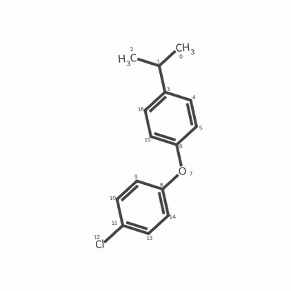 CC(C)c1ccc(Oc2ccc(Cl)cc2)cc1